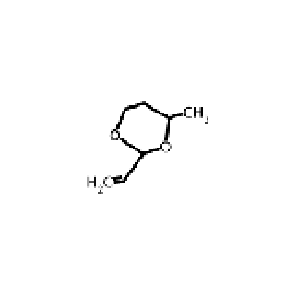 C=CC1OCCC(C)O1